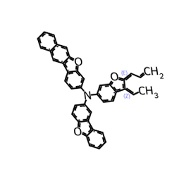 C=C/C=c1/oc2cc(N(c3ccc4c(c3)oc3cc5ccccc5cc34)c3ccc4oc5ccccc5c4c3)ccc2/c1=C/C